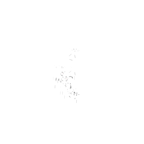 CCCCOC(=O)c1c(SCc2ccc(OC)cc2)ccc(C[C@@H](B2OC3C[C@@H]4C[C@@H](C4(C)C)[C@]3(C)O2)N([Si](C)(C)C)[Si](C)(C)C)c1OC(=O)OC(C)(C)C